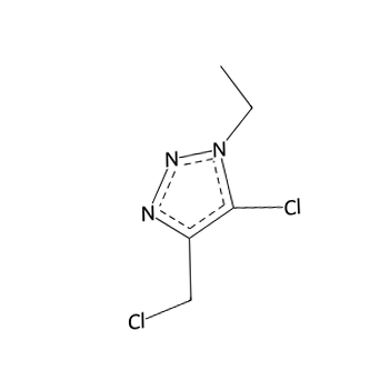 CCn1nnc(CCl)c1Cl